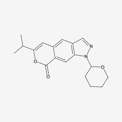 CC(C)c1cc2cc3cnn(C4CCCCO4)c3cc2c(=O)o1